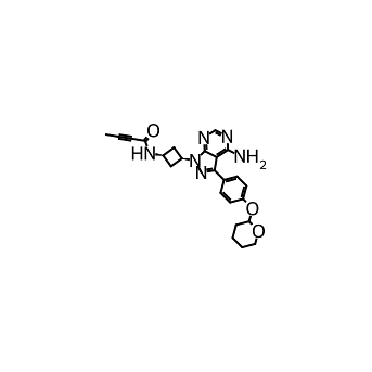 CC#CC(=O)N[C@H]1C[C@@H](n2nc(-c3ccc(OC4CCCCO4)cc3)c3c(N)ncnc32)C1